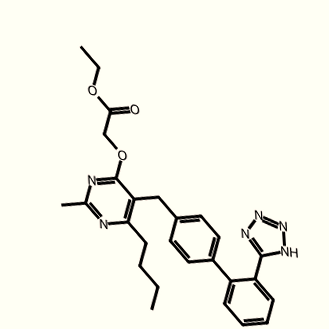 CCCCc1nc(C)nc(OCC(=O)OCC)c1Cc1ccc(-c2ccccc2-c2nnn[nH]2)cc1